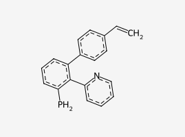 C=Cc1ccc(-c2cccc(P)c2-c2ccccn2)cc1